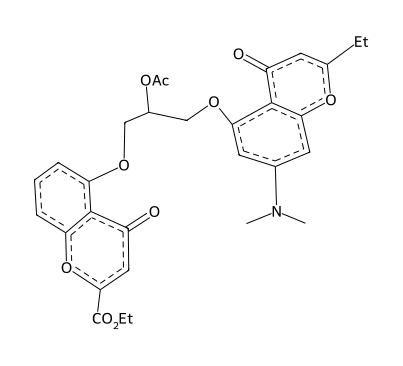 CCOC(=O)c1cc(=O)c2c(OCC(COc3cc(N(C)C)cc4oc(CC)cc(=O)c34)OC(C)=O)cccc2o1